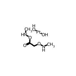 CNOCC(=O)ONC.[OH][Pt][OH]